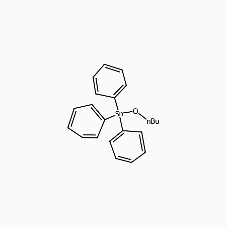 CCCC[O][Sn]([c]1ccccc1)([c]1ccccc1)[c]1ccccc1